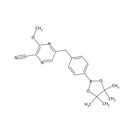 COc1nc(Cc2ccc(B3OC(C)(C)C(C)(C)O3)cc2)cnc1C#N